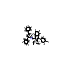 Cc1ccc(-c2c3ccccc3c(/C=C3\N=C(c4ccccc4)C=C3c3ccccc3)n2B(F)F)cc1